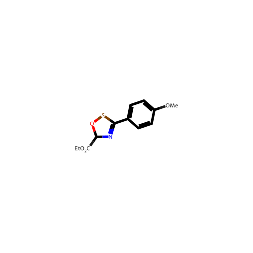 CCOC(=O)C1N=C(c2ccc(OC)cc2)SO1